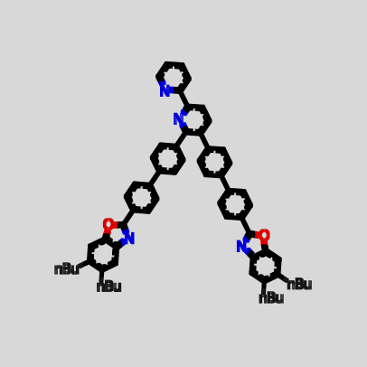 CCCCc1cc2nc(-c3ccc(-c4ccc(-c5ccc(-c6ccccn6)nc5-c5ccc(-c6ccc(-c7nc8cc(CCCC)c(CCCC)cc8o7)cc6)cc5)cc4)cc3)oc2cc1CCCC